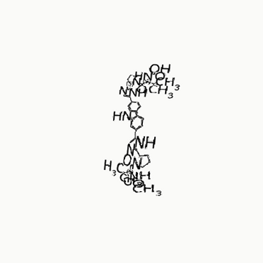 COC(=O)N[C@H](C(=O)N1CCCC1c1ncc(-c2ccc3c(c2)[nH]c2cc(-c4cnc([C@@H]5CCCN5C(=O)[C@@H](NC(=O)O)C(C)C)[nH]4)ccc23)[nH]1)C(C)C